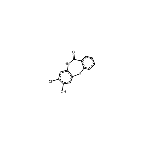 O=C1Nc2cc(Cl)c(O)cc2Sc2ccccc21